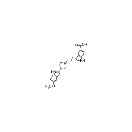 COc1ccc2[nH]c(C3CCN(CCCc4c[nH]c5ccc(C(=O)O)cc45)CC3)cc2c1